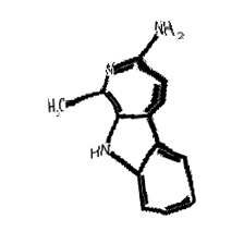 Cc1nc(N)cc2c1[nH]c1ccccc12